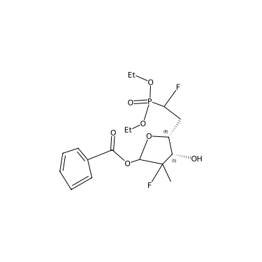 CCOP(=O)(OCC)C(F)C[C@H]1OC(OC(=O)c2ccccc2)C(C)(F)[C@H]1O